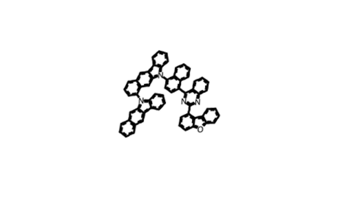 c1ccc2cc3c(cc2c1)c1ccccc1n3-c1cccc2cc3c4ccccc4n(-c4ccc(-c5nc(-c6cccc7oc8ccccc8c67)nc6ccccc56)c5ccccc45)c3cc12